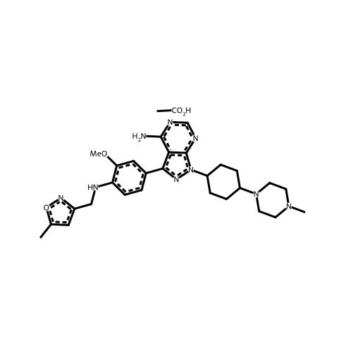 CC(=O)O.COc1cc(-c2nn(C3CCC(N4CCN(C)CC4)CC3)c3ncnc(N)c23)ccc1NCc1cc(C)on1